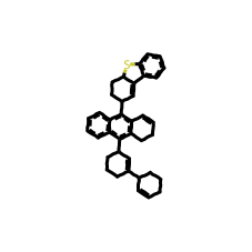 C1=CC(C2=CC(c3c4c(c(C5C=C6c7ccccc7SC6CC5)c5ccccc35)C=CCC4)CCC2)CCC1